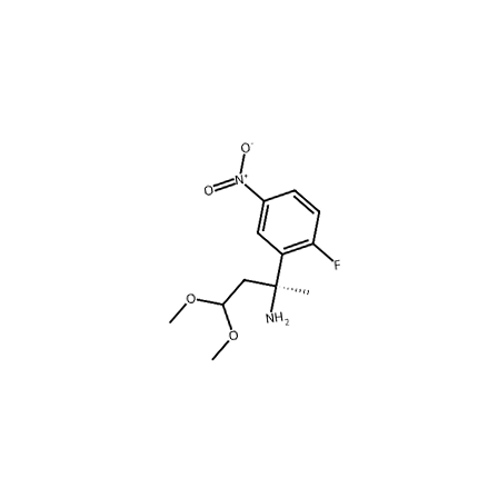 COC(C[C@](C)(N)c1cc([N+](=O)[O-])ccc1F)OC